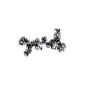 CN(C)C1CCN(c2nc3c(c(N4CCN(C(=O)/C=C/C(C/C=C/C(=O)N5CCN(c6nc(N7CC[C@@H](N(C)C)C7)nc7c6CC[C@@H](N6CCCc8ccccc86)C7)C[C@@H]5CC#N)N5CCCC5)[C@@H](CC#N)C4)n2)CC[C@H](N2CCCc4ccccc42)C3)CC1